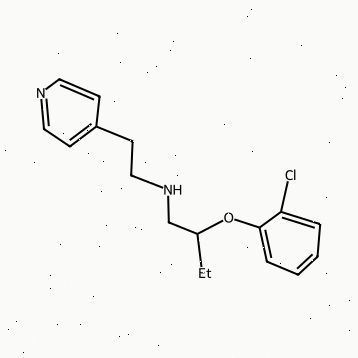 CCC(CNCCc1ccncc1)Oc1ccccc1Cl